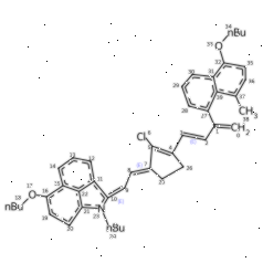 C=C(/C=C/C1=C(Cl)C(=C/C=c2\c3cccc4c(OCCCC)ccc(c43)n2CCCC)/CC1)c1cccc2c(OCCCC)ccc(C)c12